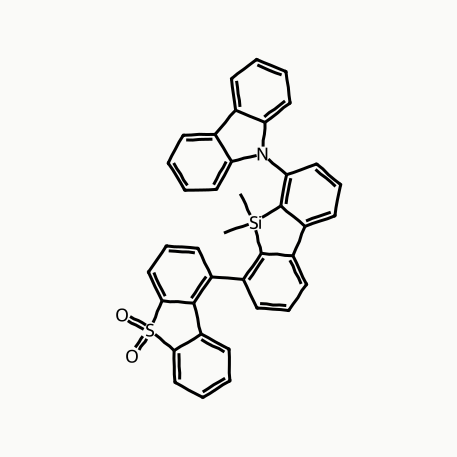 C[Si]1(C)c2c(-c3cccc4c3-c3ccccc3S4(=O)=O)cccc2-c2cccc(-n3c4ccccc4c4ccccc43)c21